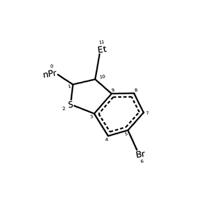 CCCC1Sc2cc(Br)ccc2C1CC